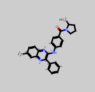 O=C(O)C1CCCN1C(=O)c1ccc(Nc2nc3ccc(C(F)(F)F)cc3nc2-c2ccccc2)cc1